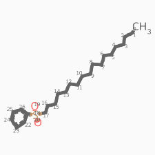 CCCCCCCCCCCCCCCCCCS(=O)(=O)c1cc[c]cc1